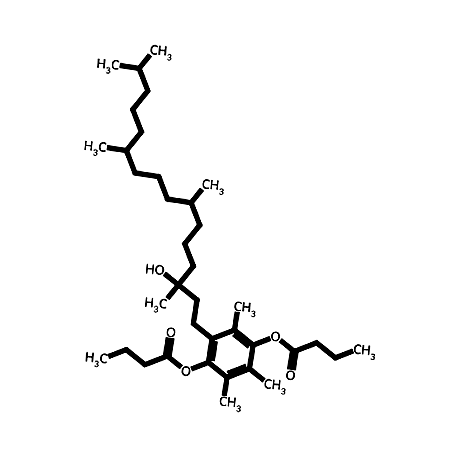 CCCC(=O)Oc1c(C)c(C)c(OC(=O)CCC)c(CCC(C)(O)CCCC(C)CCCC(C)CCCC(C)C)c1C